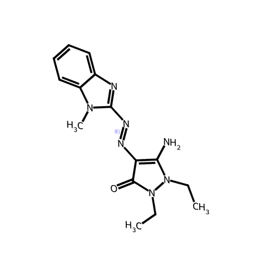 CCn1c(N)c(/N=N/c2nc3ccccc3n2C)c(=O)n1CC